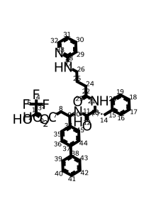 O=C(O)C(F)(F)F.O=C(O)CC(NC(=O)[C@@H](Cc1ccccc1)NC(=O)CCCNc1ccccn1)c1ccc(-c2ccccc2)cc1